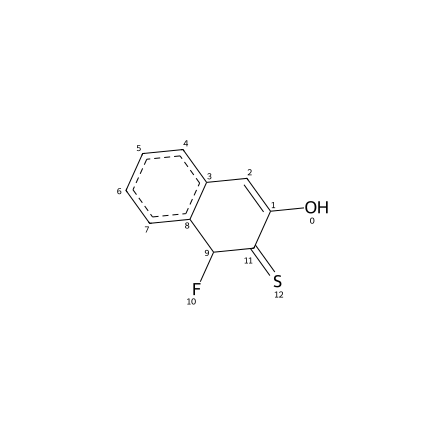 OC1=Cc2ccccc2C(F)C1=S